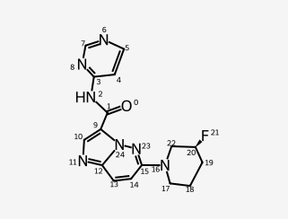 O=C(Nc1ccncn1)c1cnc2ccc(N3CCC[C@H](F)C3)nn12